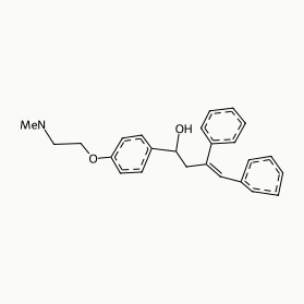 CNCCOc1ccc(C(O)CC(=Cc2ccccc2)c2ccccc2)cc1